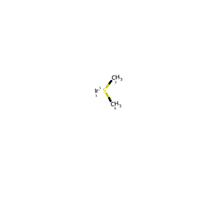 CSC.[Ir]